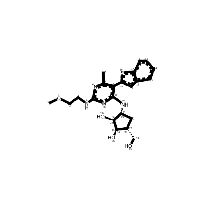 COCCNc1nc(C)c(-c2cc3ccccc3s2)c(N[C@@H]2C[C@H](CO)[C@@H](O)[C@H]2O)n1